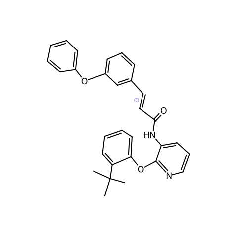 CC(C)(C)c1ccccc1Oc1ncccc1NC(=O)/C=C/c1cccc(Oc2ccccc2)c1